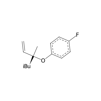 C=CC(C)(Oc1ccc(F)cc1)[C@H](C)CC